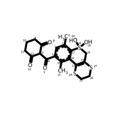 Cc1cc(C(=O)C2C(=O)CCCC2=O)c(C)c2c1S(O)(O)CC1=C2SCCS1